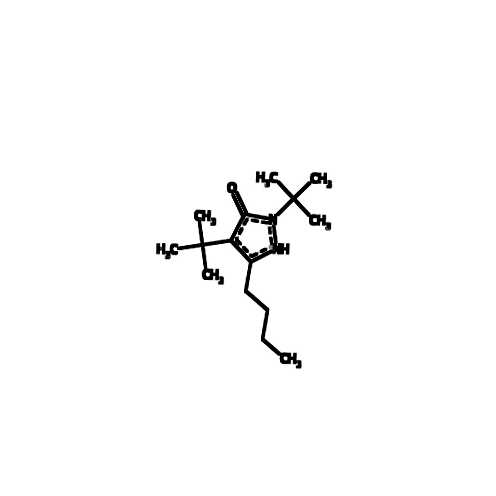 CCCCc1[nH]n(C(C)(C)C)c(=O)c1C(C)(C)C